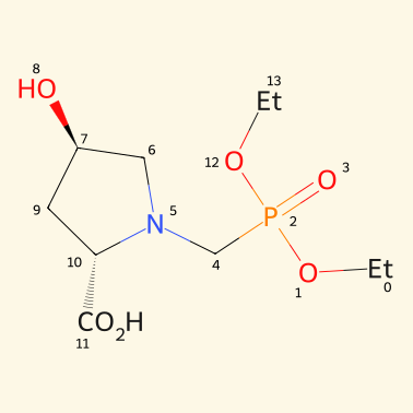 CCOP(=O)(CN1C[C@H](O)C[C@H]1C(=O)O)OCC